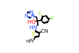 CCCc1cc(C#N)c(NCC(O)(Cn2cncn2)c2ccc(F)cc2F)s1